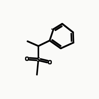 CC(c1[c]cccc1)S(C)(=O)=O